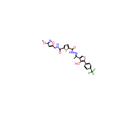 COc1cc(CNC(=O)c2ccc(C(=O)N/N=C(\C)c3csc(-c4ccc(C(F)(F)F)cc4)c3O)s2)on1